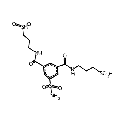 NS(=O)(=O)c1cc(C(=O)NCCC[SH](=O)=O)cc(C(=O)NCCCS(=O)(=O)O)c1